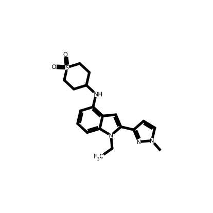 Cn1ccc(-c2cc3c(NC4CCS(=O)(=O)CC4)cccc3n2CC(F)(F)F)n1